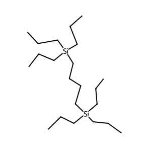 CCC[Si](CCC)(CCC)CCCC[Si](CCC)(CCC)CCC